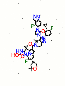 C[C@H]1c2c(nn(-c3ccc(F)c(C4CC4)c3)c2-n2ccn(-c3ccc4c(cnn4C)c3F)c2=O)CCN1C(=O)c1cc2cc([C@H]3CCOC(C)(C)C3)c(F)cn2c1C1(C2=NOC(O)N2)CC1